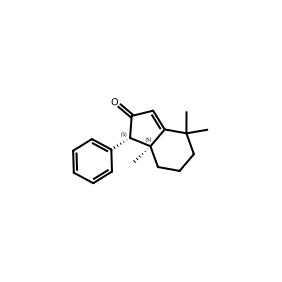 CC1(C)CCC[C@]2(C)C1=CC(=O)[C@H]2c1ccccc1